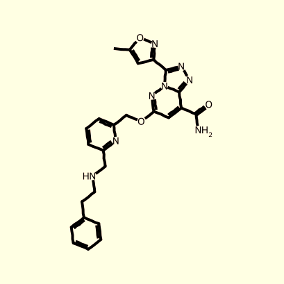 Cc1cc(-c2nnc3c(C(N)=O)cc(OCc4cccc(CNCCc5ccccc5)n4)nn23)no1